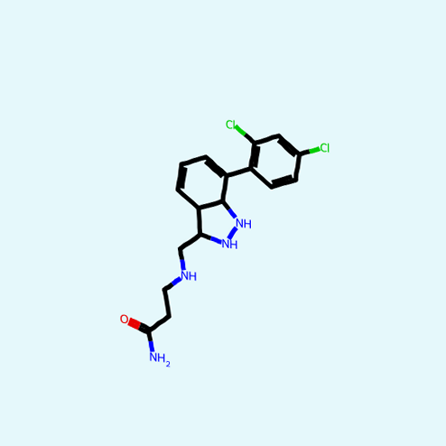 NC(=O)CCNCC1NNC2C(c3ccc(Cl)cc3Cl)=CC=CC12